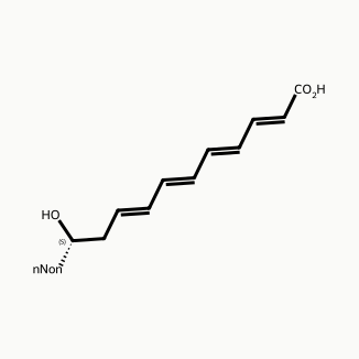 CCCCCCCCC[C@H](O)CC=CC=CC=CC=CC(=O)O